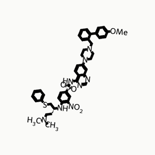 COc1ccc(-c2ccccc2CN2CCN(c3ccc4c(NS(=O)(=O)c5ccc(N[C@H](CCN(C)C)CSc6ccccc6)c([N+](=O)[O-])c5)ncnc4c3)CC2)cc1